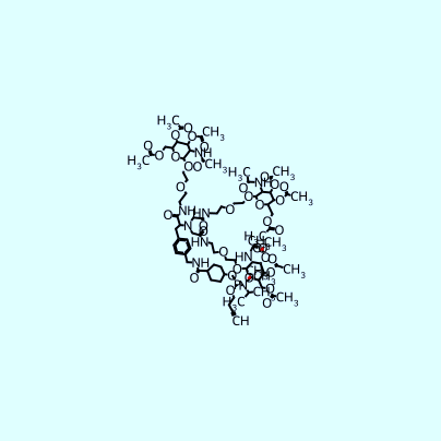 C#CCCOP(OC1CCC(C(=O)NCc2ccc(CC(C(=O)NCCOCCOC3OC(COC(C)=O)C(OC(C)=O)C(OC(C)=O)C3NC(C)=O)N(CC(=O)NCCOCCOC3OC(COC(C)=O)C(OC(C)=O)C(OC(C)=O)C3NC(C)=O)CC(=O)NCCOCCOC3OC(COC(C)=O)C(OC(C)=O)C(OC(C)=O)C3NC(C)=O)cc2)CC1)N(C(C)C)C(C)C